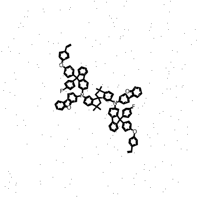 C=Cc1ccc(Oc2ccc(C3(c4ccc(F)cc4)c4ccccc4-c4ccc(N(c5ccc6c(c5)C5(CC6(C)C)CC(C)(C)c6ccc(N(c7ccc8c(c7)C(c7ccc(F)cc7)(c7ccc(Oc9ccc(C=C)cc9)cc7)c7ccccc7-8)c7ccc8c(c7)oc7ccccc78)cc65)c5ccc6c(c5)oc5ccccc56)cc43)cc2)cc1